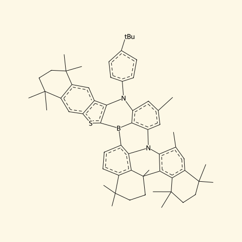 Cc1cc2c3c(c1)N(c1ccc(C(C)(C)C)cc1)c1c(sc4cc5c(cc14)C(C)(C)CCC5(C)C)B3c1ccc3c4c1N2c1c(C)cc2c(c1C4(C)CCC3(C)C)C(C)(C)CCC2(C)C